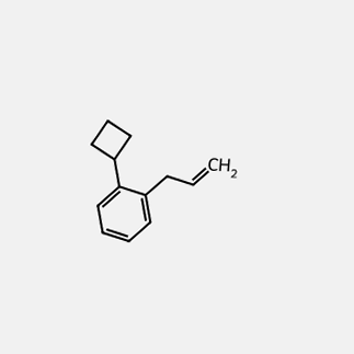 C=CCc1ccccc1C1CCC1